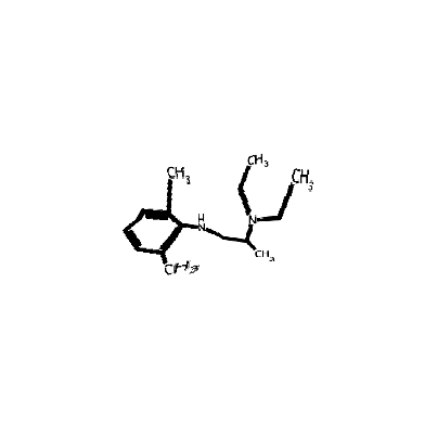 CCN(CC)C(C)CNc1c(C)cccc1C